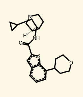 O=C(N[C@@H]1C2CCN(CC2)C1C1CC1)c1cc2cccc(C3CCOCC3)c2s1